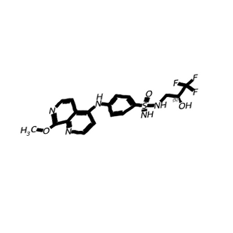 COc1nccc2c(Nc3ccc(S(=N)(=O)NC[C@H](O)C(F)(F)F)cc3)ccnc12